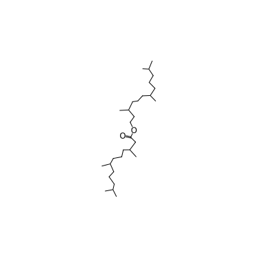 CC(C)CCCC(C)CCCC(C)CCOC(=O)CC(C)CCCC(C)CCCC(C)C